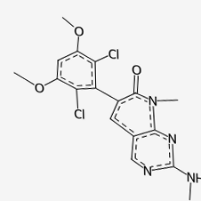 CNc1ncc2cc(-c3c(Cl)c(OC)cc(OC)c3Cl)c(=O)n(C)c2n1